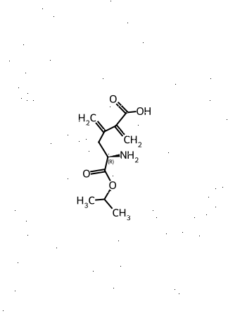 C=C(C[C@@H](N)C(=O)OC(C)C)C(=C)C(=O)O